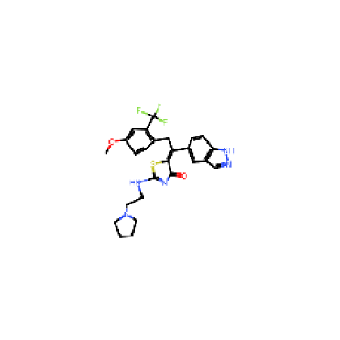 COc1ccc(CC(=C2SC(NCCN3CCCC3)=NC2=O)c2ccc3[nH]ncc3c2)c(C(F)(F)F)c1